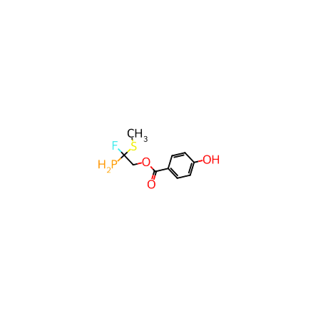 CSC(F)(P)COC(=O)c1ccc(O)cc1